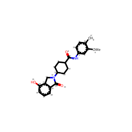 COc1cc(NC(=O)C2CCC(N3Cc4c(O)cccc4C3=O)CC2)ccc1C